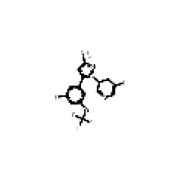 Nc1cc(-c2cc(F)cc(OC(F)(F)F)c2)n(C2C=NC=C(F)C2)n1